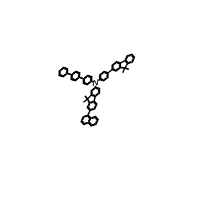 CC1(C)c2ccccc2-c2ccc(-c3ccc(N(c4ccc(-c5ccc(-c6ccccc6)cc5)cc4)c4ccc5c(c4)C(C)(C)c4cc(-c6cccc7ccccc67)ccc4-5)cc3)cc21